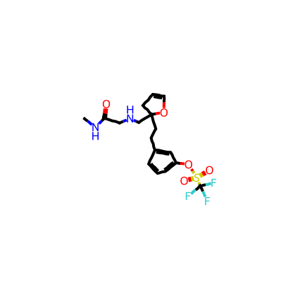 CNC(=O)CNCC1(CCc2cccc(OS(=O)(=O)C(F)(F)F)c2)CC=CO1